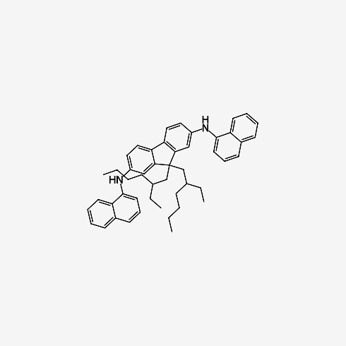 CCCCC(CC)CC1(CC(CC)CCCC)c2cc(Nc3cccc4ccccc34)ccc2-c2ccc(Nc3cccc4ccccc34)cc21